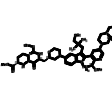 CCn1c(-c2cc(N3CCN4CCCC[C@@H]4C3)cnc2[C@H](C)OC)c(CC(C)(C)COC(C)=O)c2cc(N3CCO[C@@H](C[C@H](NC(=O)OC(C)(C)C)C(=O)N4CCC[C@@H](C(=O)OC)N4)C3)ccc21